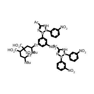 CC(=O)C1=NN(c2cccc([N+](=O)[O-])c2)N(c2cccc([N+](=O)[O-])c2)N1.CC(=O)C1=NN(c2cccc([N+](=O)[O-])c2)N(c2cccc([N+](=O)[O-])c2)N1.CCCCC(CC)CC(C(=O)O)C(CC(CC)CCCC)(C(=O)O)S(=O)(=O)O